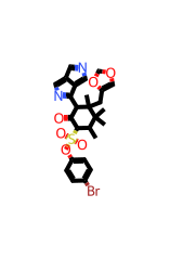 CC1C(S(=O)(=O)Oc2ccc(Br)cc2)C(=O)C(C2=NC=C3C=NC=C32)C(C)(CC2=COCO2)C1(C)C